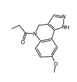 CCC(=O)N1Cc2cn[nH]c2-c2cc(OC)ccc21